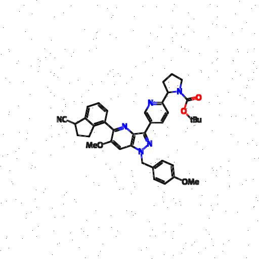 COc1ccc(Cn2nc(-c3ccc(C4CCCN4C(=O)OC(C)(C)C)nc3)c3nc(-c4cccc5c4CCC5C#N)c(OC)cc32)cc1